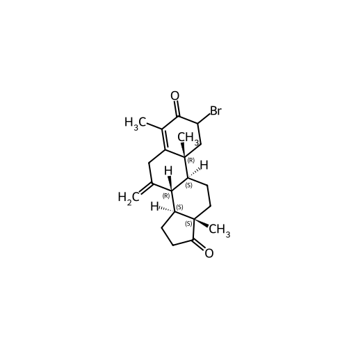 C=C1CC2=C(C)C(=O)C(Br)C[C@]2(C)[C@H]2CC[C@]3(C)C(=O)CC[C@H]3[C@H]12